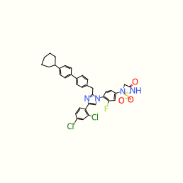 O=C1CN(c2ccc(-n3cc(-c4ccc(Cl)cc4Cl)nc3Cc3ccc(-c4ccc(C5CCCCC5)cc4)cc3)c(F)c2)S(=O)(=O)N1